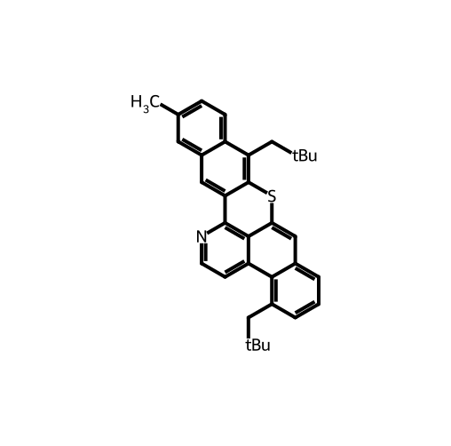 Cc1ccc2c(CC(C)(C)C)c3c(cc2c1)-c1nccc2c1c(cc1cccc(CC(C)(C)C)c12)S3